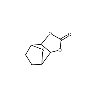 O=C1OC2C3CCC(S3)C2O1